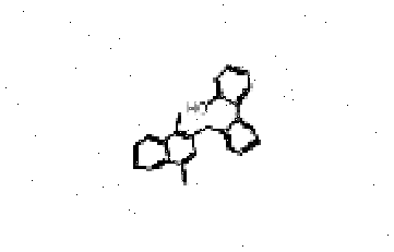 Cc1cc(Cc2ccccc2-c2ccccc2O)c(C)c2ccccc12